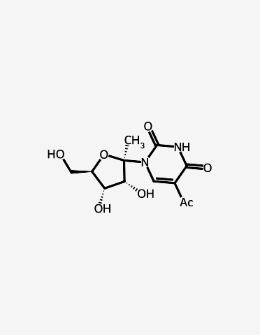 CC(=O)c1cn([C@]2(C)O[C@H](CO)[C@@H](O)[C@H]2O)c(=O)[nH]c1=O